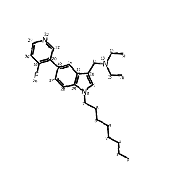 CCCCCCCCn1cc(CN(CC)CC)c2cc(-c3cnccc3F)ccc21